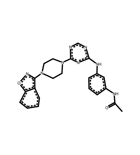 CC(=O)Nc1cccc(Nc2ncnc(N3CCN(c4noc5ccccc45)CC3)n2)c1